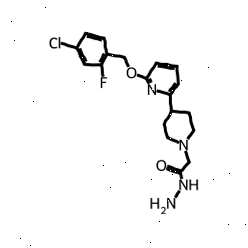 NNC(=O)CN1CCC(c2cccc(OCc3ccc(Cl)cc3F)n2)CC1